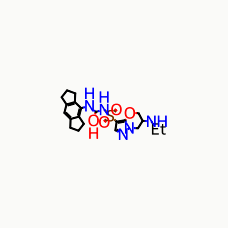 CCNC1COc2c(S(=O)(=O)NC(O)Nc3c4c(cc5c3CCC5)CCC4)cnn2C1